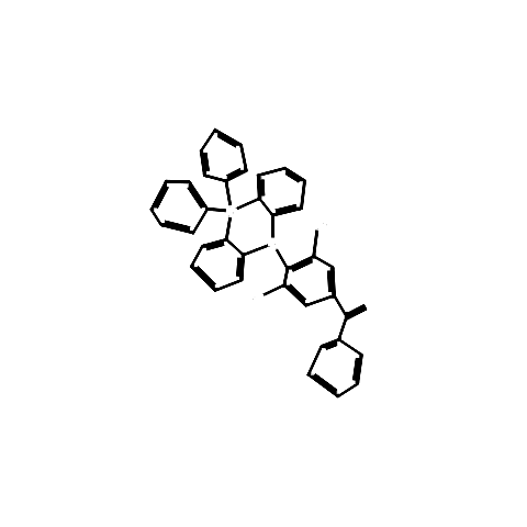 N#Cc1cc(C(=O)c2ccccc2)cc(C#N)c1N1c2ccccc2[Si](c2ccccc2)(c2ccccc2)c2ccccc21